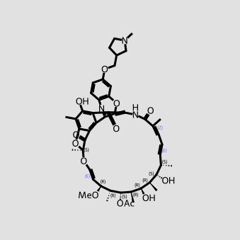 CO[C@H]1/C=C/O[C@@]2(C)Oc3c(C)c(O)c4c(=O)c(c5oc6cc(OCC7CCN(C)C7)ccc6nc-5c4c3C2=O)NC(=O)/C(C)=C\C=C\[C@H](C)[C@H](O)[C@@H](C)[C@@H](O)[C@@H](C)[C@H](OC(C)=O)[C@@H]1C